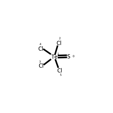 S=[Te](Cl)(Cl)(Cl)Cl